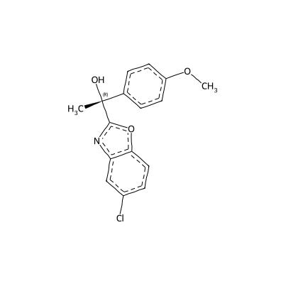 COc1ccc([C@@](C)(O)c2nc3cc(Cl)ccc3o2)cc1